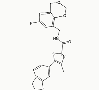 Cc1nc(C(=O)NCc2cc(F)cc3c2OCOC3)sc1-c1ccc2c(c1)CCC2